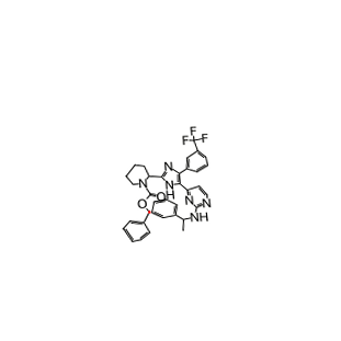 CC(Nc1nccc(-c2[nH]c(C3CCCCN3C(=O)OCc3ccccc3)nc2-c2cccc(C(F)(F)F)c2)n1)c1ccccc1